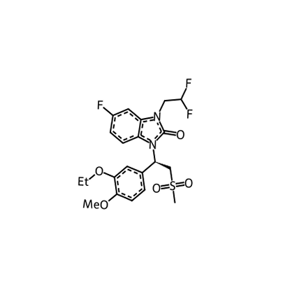 CCOc1cc([C@H](CS(C)(=O)=O)n2c(=O)n(CC(F)F)c3cc(F)ccc32)ccc1OC